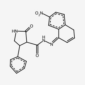 O=C1NCC(c2ccccc2)C1C(=O)N/N=C1/C=CCc2ccc([N+](=O)[O-])cc21